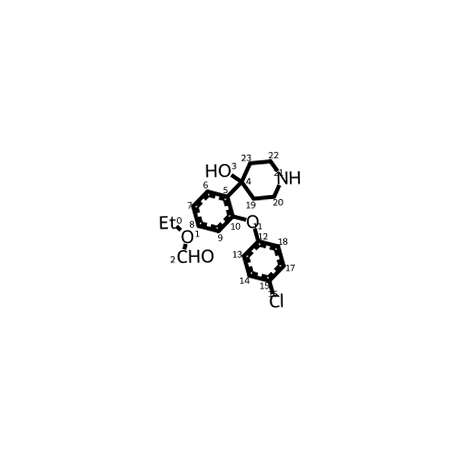 CCOC=O.OC1(c2ccccc2Oc2ccc(Cl)cc2)CCNCC1